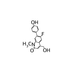 Cn1c(=O)cc(CO)c2cc(F)c(-c3ccc(O)cc3)cc21